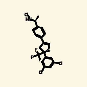 C[C@H](NCl)c1ccc(C2=CSC(c3cc(Cl)cc(Cl)c3)(C(F)(F)F)C2)cc1